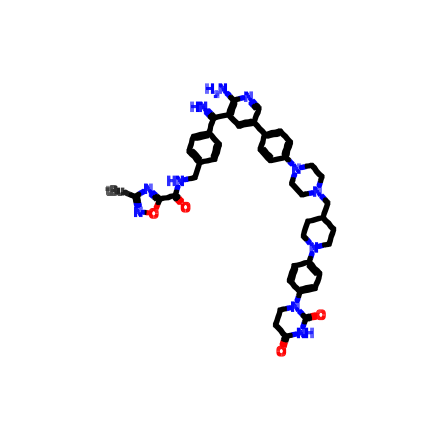 CC(C)(C)c1noc(C(=O)NCc2ccc(C(=N)c3cc(-c4ccc(N5CCN(CC6CCN(c7ccc(N8CCC(=O)NC8=O)cc7)CC6)CC5)cc4)cnc3N)cc2)n1